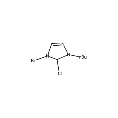 CCCCN1N=CN(Br)C1Cl